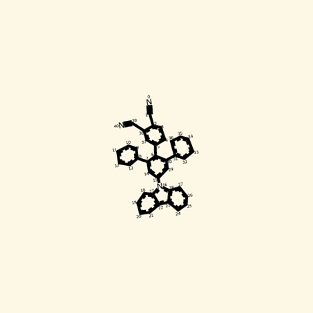 N#Cc1ccc(-c2c(-c3ccccc3)cc(-n3c4ccccc4c4ccccc43)cc2-c2ccccc2)cc1C#N